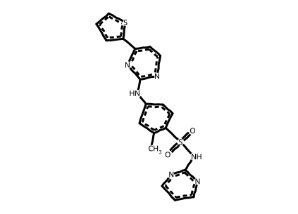 Cc1cc(Nc2nccc(-c3cccs3)n2)ccc1S(=O)(=O)Nc1ncccn1